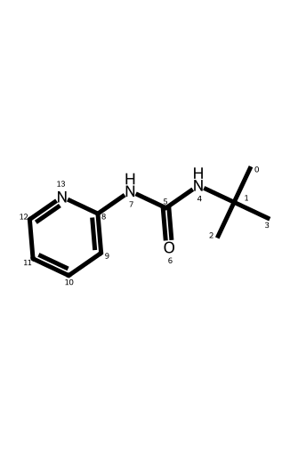 CC(C)(C)NC(=O)Nc1ccccn1